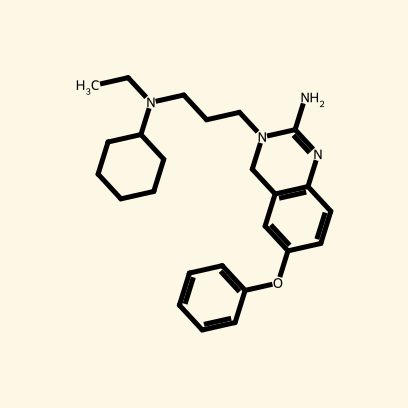 CCN(CCCN1Cc2cc(Oc3ccccc3)ccc2N=C1N)C1CCCCC1